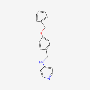 c1ccc(COc2ccc(CNc3ccncc3)cc2)cc1